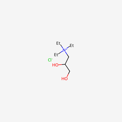 CC[N+](CC)(CC)CC(O)CO.[Cl-]